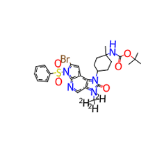 [2H]C([2H])([2H])n1c(=O)n(C2CCC(C)(NC(=O)OC(C)(C)C)CC2)c2c3cc(Br)n(S(=O)(=O)c4ccccc4)c3ncc21